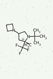 CC(C)(C)N1CC(N2CCC2)C[C@@]1(C)C(F)(F)F